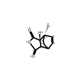 O=C1OC(=O)[C@H]2C1C1C=C[C@H]2CC1